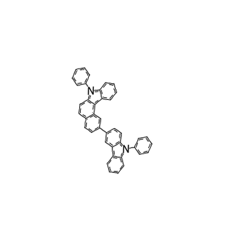 c1ccc(-n2c3ccccc3c3cc(-c4ccc5ccc6c(c5c4)c4ccccc4n6-c4ccccc4)ccc32)cc1